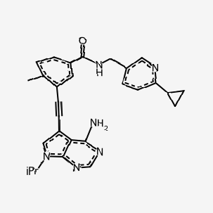 Cc1ccc(C(=O)NCc2ccc(C3CC3)nc2)cc1C#Cc1cn(C(C)C)c2ncnc(N)c12